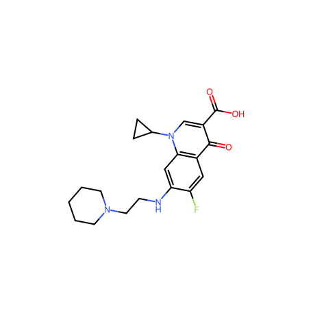 O=C(O)c1cn(C2CC2)c2cc(NCCN3CCCCC3)c(F)cc2c1=O